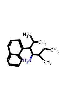 CCC(C)C(N)C(c1cccc2ccccc12)C(C)C